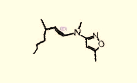 CCCC(C)/C=C/N(C)c1cc(C)on1